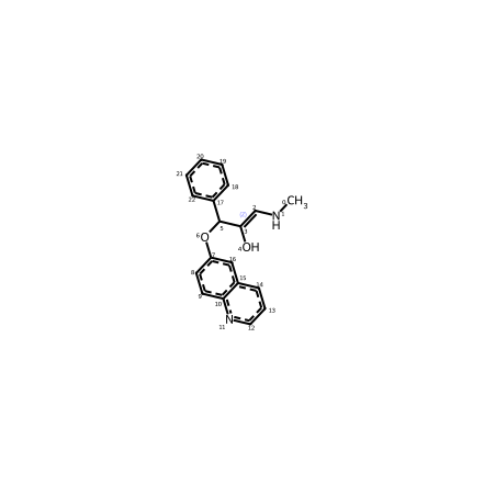 CN/C=C(\O)C(Oc1ccc2ncccc2c1)c1ccccc1